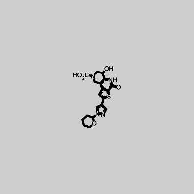 O=C(O)N1Cc2c([nH]c(=O)c3sc(-c4cnn(C5CCCCO5)c4)cc23)C(O)C1